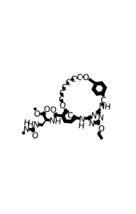 CCOc1nc2nc(n1)Nc1ccc(C(=O)N[C@@H](CNC(=O)NC)C(=O)OC)c(c1)OCCCCCCOc1ccc(cc1)CN2